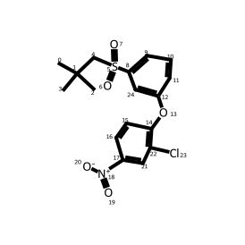 CC(C)(C)CS(=O)(=O)c1cccc(Oc2ccc([N+](=O)[O-])cc2Cl)c1